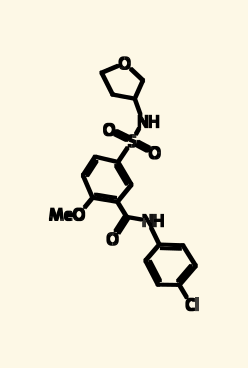 COc1ccc(S(=O)(=O)NC2CCOC2)cc1C(=O)Nc1ccc(Cl)cc1